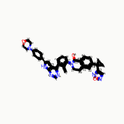 Cc1c(-c2ncnc3[nH]c(-c4ccc(N5CCOCC5)cc4)cc23)cccc1N1CCc2cc(C3(c4cnon4)CC3)ccc2C1=O